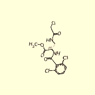 COC(=O)[C@H](CNC(=O)CCl)NC(=O)c1c(Cl)cccc1Cl